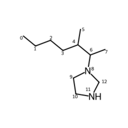 CCCCC(C)C(C)N1CCNC1